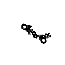 C[C@@H](O)CN1CC(C(=O)N[C@@H]2CCc3cc(C4NOC(C5CCCCCCC5)(C5CC5)N4)ccc32)C2(CCCCCCC2)N1